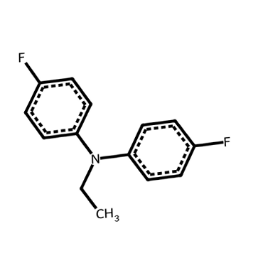 CCN(c1ccc(F)cc1)c1ccc(F)cc1